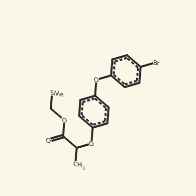 CSCOC(=O)C(C)Oc1ccc(Oc2ccc(Br)cc2)cc1